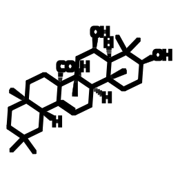 CC1(C)CC[C@]2(C)CC[C@]3(C(=O)O)C(=CC[C@@H]4[C@@]5(C)CC[C@H](O)C(C)(C)[C@@H]5[C@H](O)C[C@]43C)[C@@H]2C1